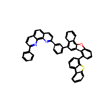 c1ccc(-c2ccc3ccc4ccc(-c5cccc(-c6cc7c(oc8cccc(-c9cccc%10c9sc9ccccc9%10)c87)c7ccccc67)c5)nc4c3n2)cc1